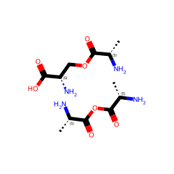 C[C@H](N)C(=O)OC(=O)[C@H](C)N.C[C@H](N)C(=O)OC[C@H](N)C(=O)O